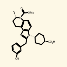 COC(=O)N1c2ccc3c(nc(Cc4cccc(C#N)c4)n3[C@H]3CC[C@H](C(=O)O)CC3)c2CC[C@@H]1C